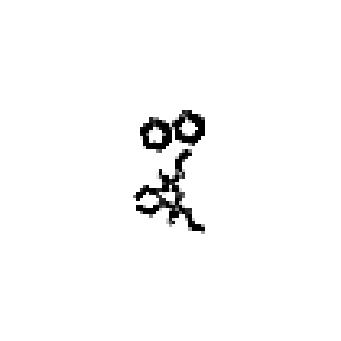 CCOP(=S)(OCC)OP(=S)(OCC)OCC.c1ccncc1.c1ccncc1